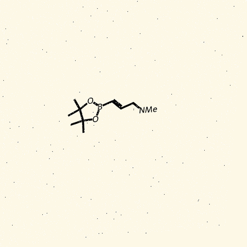 CNC/C=C/B1OC(C)(C)C(C)(C)O1